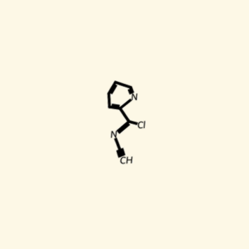 C#C/N=C(\Cl)c1ccccn1